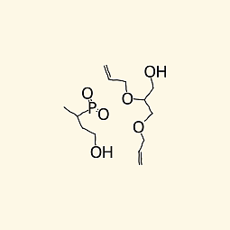 C=CCOCC(CO)OCC=C.CC(CCO)P(=O)=O